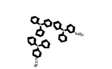 [H-].[H-].[H-].[H-].[H-].[K+].[Ru+4].c1ccc(P(c2ccccc2)c2ccccc2)cc1.c1ccc(P(c2ccccc2)c2ccccc2)cc1.c1ccc(P(c2ccccc2)c2ccccc2)cc1